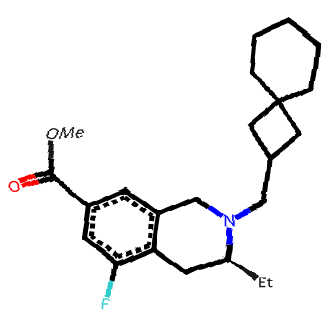 CC[C@H]1Cc2c(F)cc(C(=O)OC)cc2CN1CC1CC2(CCCCC2)C1